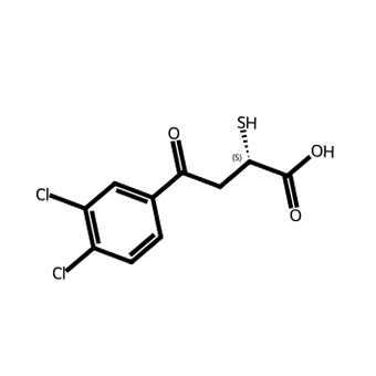 O=C(C[C@H](S)C(=O)O)c1ccc(Cl)c(Cl)c1